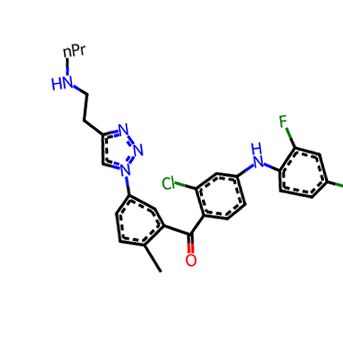 CCCNCCc1cn(-c2ccc(C)c(C(=O)c3ccc(Nc4ccc(F)cc4F)cc3Cl)c2)nn1